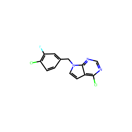 Fc1cc(Cn2ccc3c(Cl)ncnc32)ccc1Cl